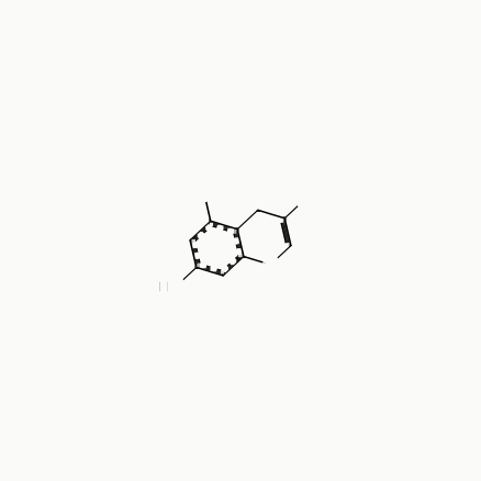 OC1=COc2cc(O)cc(O)c2C1